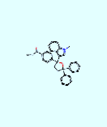 COC(=O)c1ccc(C2(c3cn(C)c4ccccc34)CCC(c3ccccc3)(c3ccccc3)O2)cc1